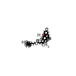 C[C@H](CCC(=O)OCCCC(F)(F)C(F)(F)S(=O)(=O)O)[C@H]1CC[C@H]2[C@@H]3C(=O)CC4CC(=O)CC[C@]4(C)[C@H]3CC(=O)[C@]12C